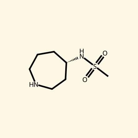 CS(=O)(=O)N[C@H]1CCCNCC1